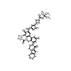 CC(=O)OCc1c(-c2cc(Nc3cc(C4CN(C(=O)OC(C)(C)C)C4)[nH]n3)c(=O)n(C)c2)cc(F)cc1N1CCn2c(cc3c2CCCC3)C1=O